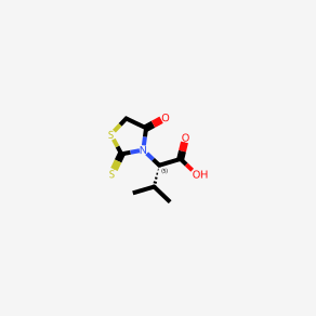 CC(C)[C@@H](C(=O)O)N1C(=O)CSC1=S